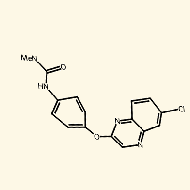 CNC(=O)Nc1ccc(Oc2cnc3cc(Cl)ccc3n2)cc1